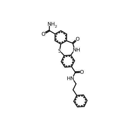 NC(=O)c1ccc2c(c1)Sc1ccc(C(=O)NCCc3ccccc3)cc1NC2=O